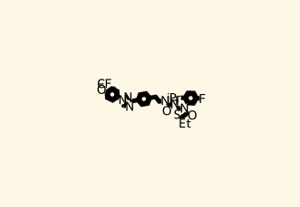 CCC1S/C(=N\C(=O)NCCc2ccc(-c3ncn(-c4ccc(OC(F)(F)F)cc4)n3)cc2)N(c2cc(F)ccc2C(C)C)C1=O